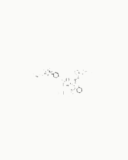 CN(C(=O)[C@@H](N)CCC(N)=O)c1ccc(OCC(=O)N[C@@H](CC(N)=O)C(=O)N[C@@H](Cc2ccccc2)[C@H](O)C(=O)N2CCC[C@H]2C(=O)NC(C)(C)C)cc1.Cl